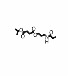 CCC(=O)NCCCOC(=O)CCC(=O)OC(C)C